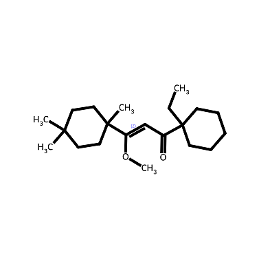 CCC1(C(=O)/C=C(\OC)C2(C)CCC(C)(C)CC2)CCCCC1